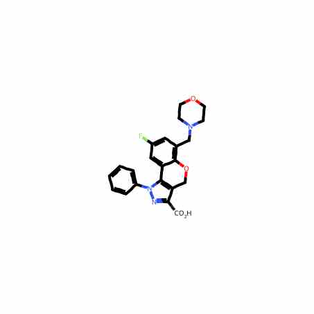 O=C(O)c1nn(-c2ccccc2)c2c1COc1c(CN3CCOCC3)cc(F)cc1-2